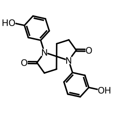 O=C1CCC2(CCC(=O)N2c2cccc(O)c2)N1c1cccc(O)c1